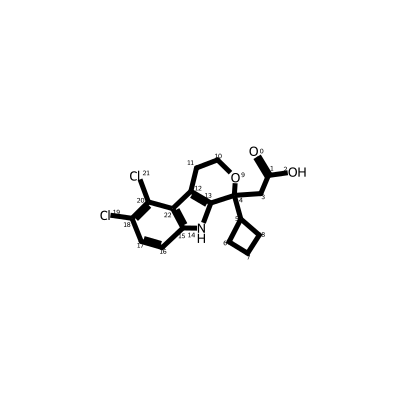 O=C(O)CC1(C2CCC2)OCCc2c1[nH]c1ccc(Cl)c(Cl)c21